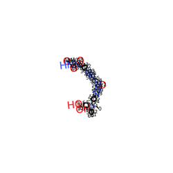 CC/C(=C(/c1ccc(B(O)O)cc1)c1ccc(N2CCN(C(=O)N3CCC(N4CCN(c5ccc6c(c5)CN(C5CCC(=O)NC5=O)C6=O)CC4)CC3)CC2)cc1)c1ccccc1